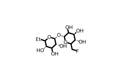 CCC1O[C@H](O[C@H]2OC(CF)[C@@H](O)[C@H](O)C2O)[C@H](O)C(O)[C@@H]1O